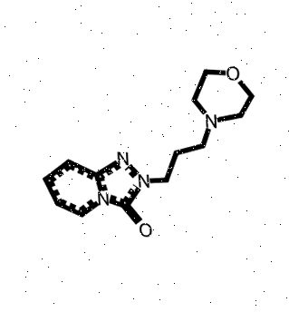 O=c1n(CCCN2CCOCC2)nc2ccccn12